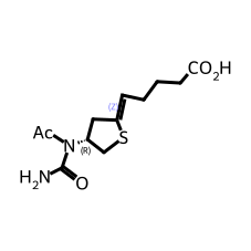 CC(=O)N(C(N)=O)[C@H]1CS/C(=C\CCCC(=O)O)C1